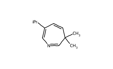 CC(C)C1=CN=CC(C)(C)C=C1